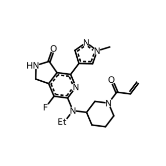 C=CC(=O)N1CCCC(N(CC)c2nc(-c3cnn(C)c3)c3c(c2F)CNC3=O)C1